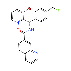 O=C(N[C@@H](c1ccc(CF)cc1)c1ncccc1Br)c1ccc2cccnc2c1